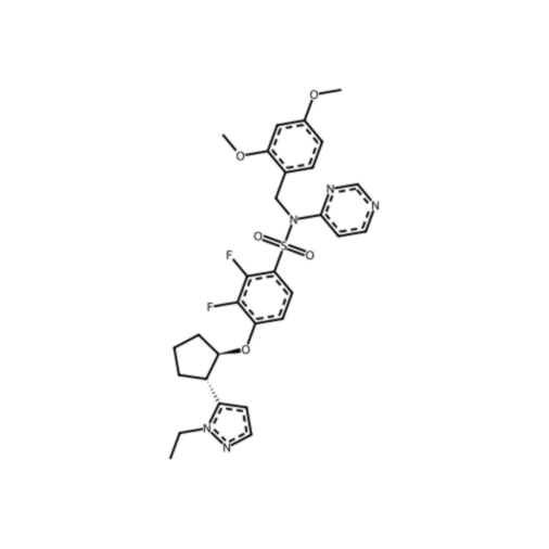 CCn1nccc1[C@@H]1CCC[C@H]1Oc1ccc(S(=O)(=O)N(Cc2ccc(OC)cc2OC)c2ccncn2)c(F)c1F